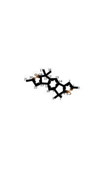 Cc1cc2c(s1)C(C)(C)c1cc3c(cc1-2)C(C)(C)c1sc(C)cc1-3